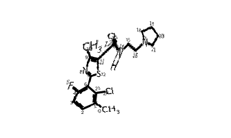 Cc1ccc(F)c(-c2nc(C)c(C(=O)NCCN3CCCC3)s2)c1Cl